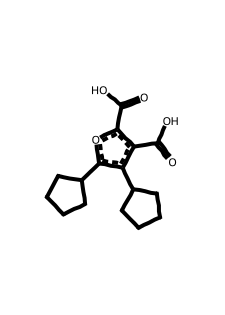 O=C(O)c1oc(C2CCCC2)c(C2CCCC2)c1C(=O)O